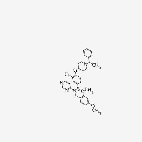 COc1ccc(CN(Sc2ccc(OC3CCN(C(C)c4ccccc4)CC3)c(Cl)c2)c2ccncn2)c(OC)c1